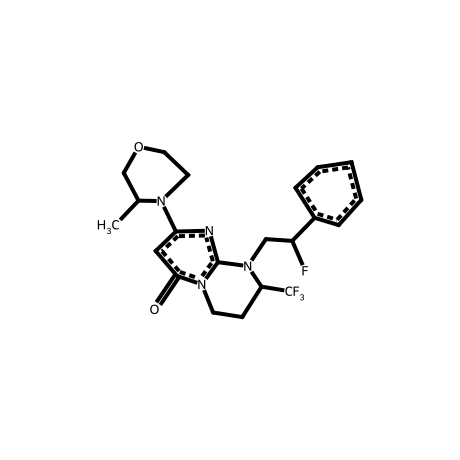 CC1COCCN1c1cc(=O)n2c(n1)N(CC(F)c1ccccc1)C(C(F)(F)F)CC2